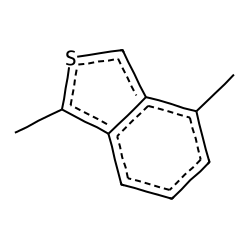 Cc1cccc2c(C)scc12